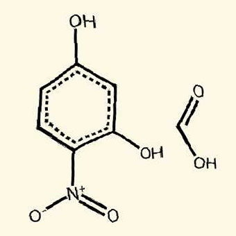 O=CO.O=[N+]([O-])c1ccc(O)cc1O